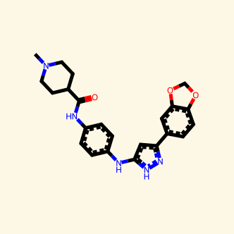 CN1CCC(C(=O)Nc2ccc(Nc3cc(-c4ccc5c(c4)OCO5)n[nH]3)cc2)CC1